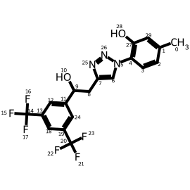 Cc1ccc(-n2cc(CC(O)c3cc(C(F)(F)F)cc(C(F)(F)F)c3)nn2)c(O)c1